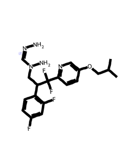 CC(C)COc1ccc(C(F)(F)C(CN(N)/C=N\N)c2ccc(F)cc2F)nc1